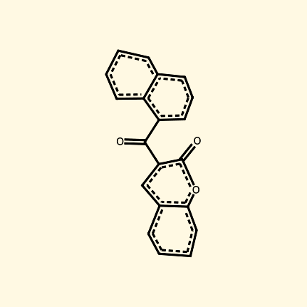 O=C(c1cc2ccccc2oc1=O)c1cccc2ccccc12